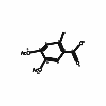 CC(=O)Oc1cc(C)c(C(=O)Cl)cc1OC(C)=O